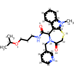 CC(C)OCCCNC(=O)C1c2c(n(C)c3ccccc23)SCC(=O)N1Cc1cccnc1